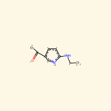 CCC(=O)c1ccc(NCC(F)(F)F)nc1